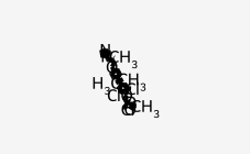 CC(=O)O[C@@H](CCl)COc1c(Cl)cc(C(C)(C)c2ccc(OC[C@@H](C)Cn3ccnc3)cc2)cc1Cl